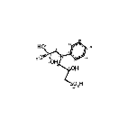 O=P(O)(O)CN(CC(O)CS(=O)(=O)O)c1ccncc1